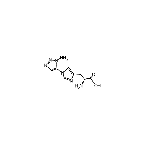 N[C@@H](Cc1cn(-c2cnnn2N)cn1)C(=O)O